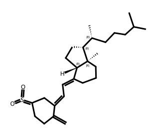 C=C1CCC(=S(=O)=O)CC1=CC=C1CCC[C@]2(C)[C@@H]([C@H](C)CCCC(C)C)CC[C@@H]12